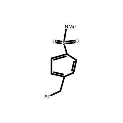 CNS(=O)(=O)c1ccc(CC(C)=O)cc1